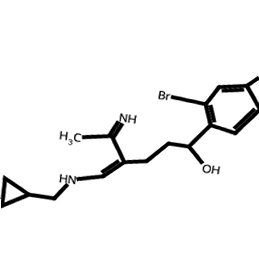 CC(=N)/C(=C\NCC1CC1)CCC(O)c1ccc(F)cc1Br